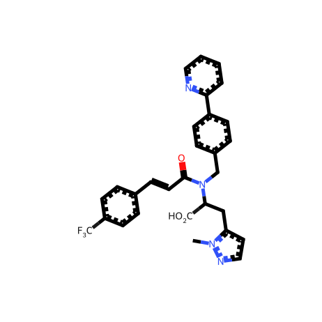 Cn1nccc1CC(C(=O)O)N(Cc1ccc(-c2ccccn2)cc1)C(=O)C=Cc1ccc(C(F)(F)F)cc1